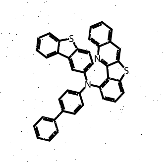 c1ccc(-c2ccc(N(c3ccc4sc5ccccc5c4c3)c3cccc4sc5cc6ccccc6nc5c34)cc2)cc1